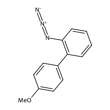 COc1ccc(-c2ccc[c]c2N=[N+]=[N-])cc1